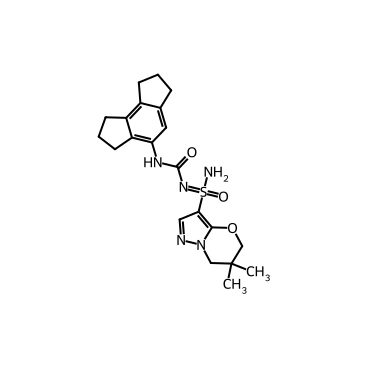 CC1(C)COc2c(S(N)(=O)=NC(=O)Nc3cc4c(c5c3CCC5)CCC4)cnn2C1